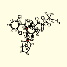 CC1(S(=O)(=O)NC(=O)c2ccc3nc(N4C5CCC4CC(NCc4c(-c6c(Cl)cccc6Cl)noc4C4CC4)C5)sc3c2)CC1